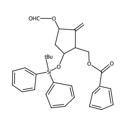 C=C1C(OC=O)CC(O[Si](c2ccccc2)(c2ccccc2)C(C)(C)C)C1COC(=O)c1ccccc1